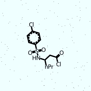 CCCC(CC(=O)Cl)NS(=O)(=O)c1ccc(Cl)cc1